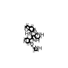 O=C1NCCc2[nH]c(-c3ccncc3OC[C@H]3CCN3)c(Nc3cccc4ccoc34)c21